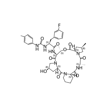 Cc1ccc(NC(=O)N[C@@H](Cc2cccc(F)c2)C(=O)N[C@@H]2C(=O)N3C[C@H](O)C[C@H]3C(=O)N3CCCC[C@H]3C(=O)N[C@@H](C)C(=O)N3C[C@H](C)C[C@H]3C(=O)O[C@H]2C)cc1